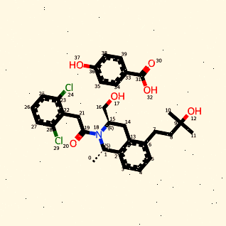 C[C@H]1c2cccc(CCC(C)(C)O)c2C[C@H](CO)N1C(=O)Cc1c(Cl)cccc1Cl.O=C(O)c1ccc(O)cc1